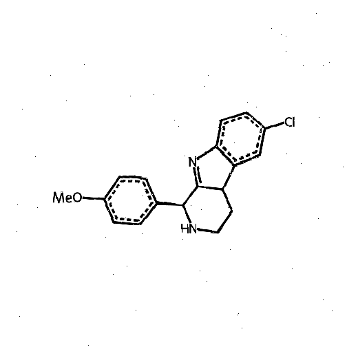 COc1ccc([C@@H]2NCCC3C2=Nc2ccc(Cl)cc23)cc1